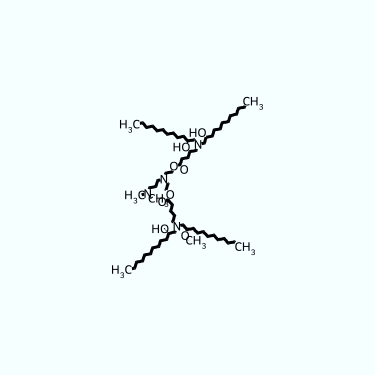 CCCCCCCCCCC(O)CN(CCCCC(=O)OCCN(CCCN(C)C)CCOC(=O)CCCCN(CC(CCCCCCCCCC)OC)C[C@@H](O)CCCCCCCCCC)C[C@H](O)CCCCCCCCCC